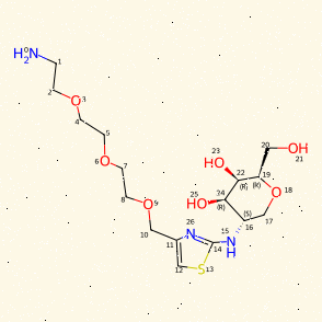 NCCOCCOCCOCc1csc(N[C@H]2CO[C@H](CO)[C@H](O)[C@@H]2O)n1